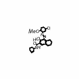 COc1ccc(Cl)cc1N=Nc1c(O)c(C(=O)Nc2ccccc2)cc2ccccc12